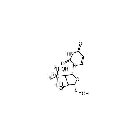 [2H][13C]([2H])([2H])[C@]1(O)[C@H](O)[C@@H](CO)O[C@H]1n1ccc(=O)[nH]c1=O